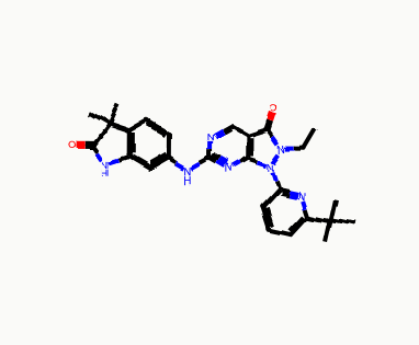 CCn1c(=O)c2cnc(Nc3ccc4c(c3)NC(=O)C4(C)C)nc2n1-c1cccc(C(C)(C)C)n1